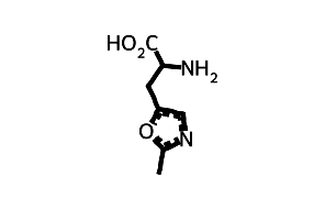 Cc1ncc(CC(N)C(=O)O)o1